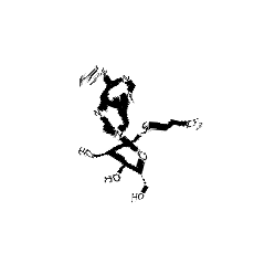 Nc1ncnc2c1ncn2[C@]1(SCCC(F)(F)F)O[C@H](CO)[C@@H](O)[C@H]1O